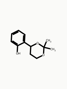 CC1(C)OCCC(c2ccccc2O)O1